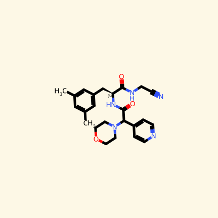 Cc1cc(C)cc(C[C@H](NC(=O)C(c2ccncc2)N2CCOCC2)C(=O)NCC#N)c1